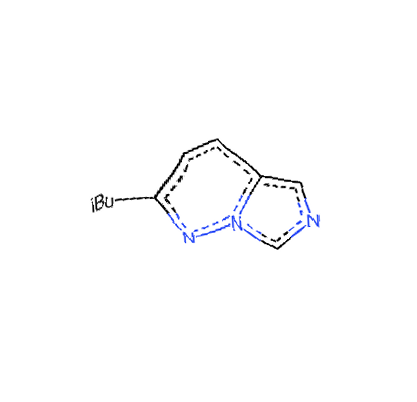 CCC(C)c1ccc2cncn2n1